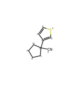 N#CC1(c2ccsc2)CCCC1